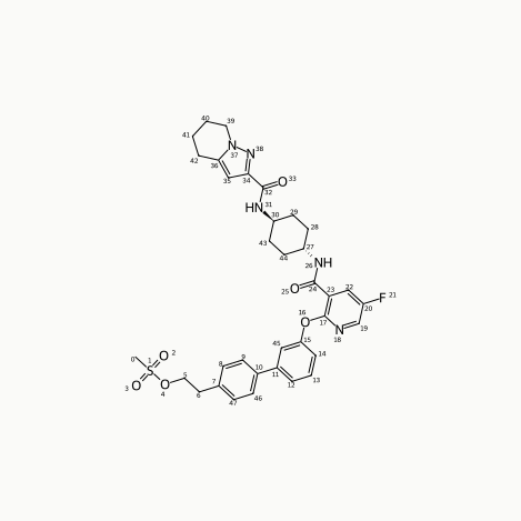 CS(=O)(=O)OCCc1ccc(-c2cccc(Oc3ncc(F)cc3C(=O)N[C@H]3CC[C@H](NC(=O)c4cc5n(n4)CCCC5)CC3)c2)cc1